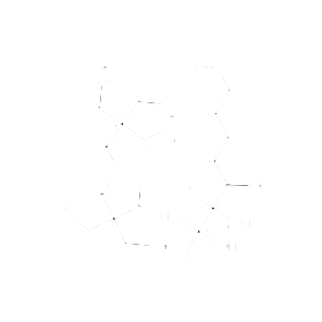 CCCCCCCCCCCCCCC(O)C(O)(O)C(O)(O)C(=O)O.OCC(CO)(CO)COCC(CO)(CO)CO